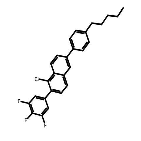 CCCCCc1ccc(-c2ccc3c(Cl)c(-c4cc(F)c(F)c(F)c4)ccc3c2)cc1